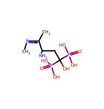 CN=C(C)C(N)CC(O)(P(=O)(O)O)P(=O)(O)O